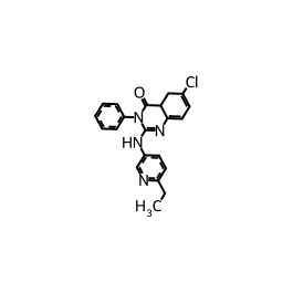 CCc1ccc(NC2=NC3=CC=C(Cl)CC3C(=O)N2c2ccccc2)cn1